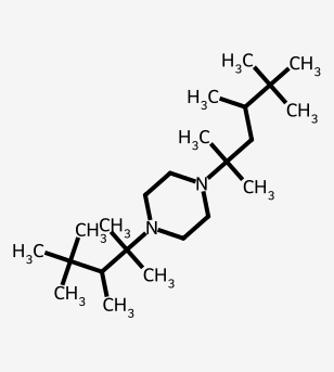 CC(CC(C)(C)N1CCN(C(C)(C)C(C)C(C)(C)C)CC1)C(C)(C)C